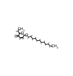 CCCCCCCCCCCCOC1C=CC(=O)C(CC)O1